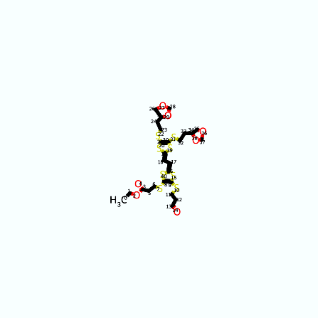 CCOC(=O)CCSC1=C(SCCC=O)S/C(=C/C=C2SC(SCCC3COCO3)=C(SCCC3COCO3)S2)S1